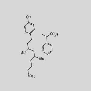 CC(C(=O)O)c1ccccc1.CCCCCCCCCCCCCC(CC(CCc1ccc(O)cc1)C(C)(C)C)C(C)(C)C